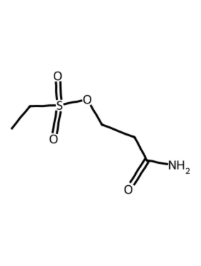 CCS(=O)(=O)OCCC(N)=O